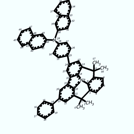 CC1(C)c2cccc3c2-n2c4c1cc(-c1ccccc1)cc4c1cc(-c4ccc(N(c5ccc6ccccc6c5)c5ccc6ccccc6c5)cc4)cc(c12)C3(C)C